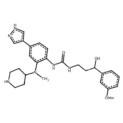 COc1cccc(C(O)CCNC(=O)Nc2ccc(-c3cn[nH]c3)cc2N(C)C2CCNCC2)c1